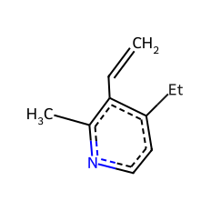 C=Cc1c(CC)ccnc1C